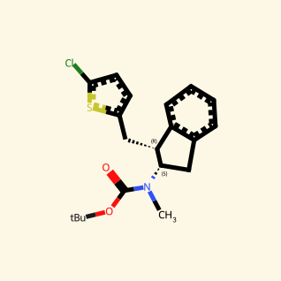 CN(C(=O)OC(C)(C)C)[C@H]1Cc2ccccc2[C@H]1Cc1ccc(Cl)s1